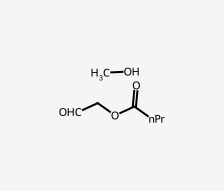 CCCC(=O)OCC=O.CO